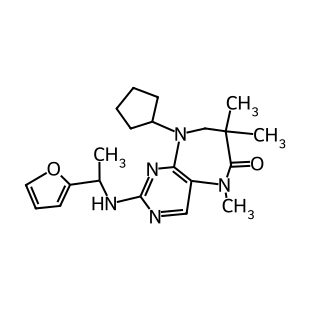 CC(Nc1ncc2c(n1)N(C1CCCC1)CC(C)(C)C(=O)N2C)c1ccco1